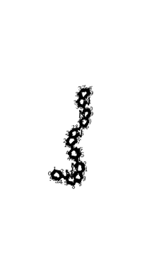 c1ccc(-c2ccc3ccc4ccc(-c5ccc(-c6ccc7ccc(-c8ccc9ccc(-c%10ccc%11ccccc%11n%10)nc9c8)nc7c6)cc5)nc4c3n2)cc1